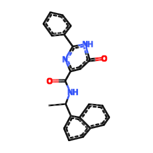 CC(NC(=O)c1cc(=O)[nH]c(-c2ccccc2)n1)c1cccc2ccccc12